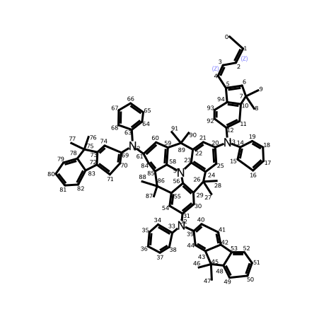 C/C=C\C=C/C1=CC(C)(C)c2cc(N(c3ccccc3)c3cc4c5c(c3)C(C)(C)c3cc(N(c6ccccc6)c6ccc7c(c6)C(C)(C)c6ccccc6-7)cc6c3N5c3c(cc(N(c5ccccc5)c5ccc7c(c5)C(C)(C)c5ccccc5-7)cc3C6(C)C)C4(C)C)ccc21